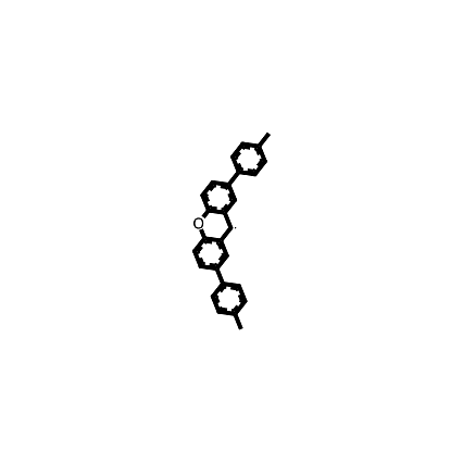 Cc1ccc(-c2ccc3c(c2)[CH]c2cc(-c4ccc(C)cc4)ccc2O3)cc1